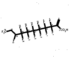 C=C(C(=O)O)C(F)(F)C(F)(F)C(F)(F)C(F)(F)C(F)(F)C(F)(F)C(F)CC(F)(F)F